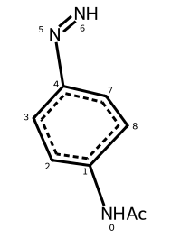 CC(=O)Nc1ccc(N=N)cc1